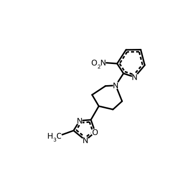 Cc1noc(C2CCN(c3ncccc3[N+](=O)[O-])CC2)n1